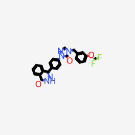 O=c1[nH]nc(-c2ccc(-n3ncn(Cc4cccc(OC(F)F)c4)c3=O)cc2)c2ccccc12